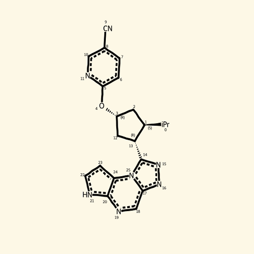 CC(C)[C@@H]1C[C@@H](Oc2ccc(C#N)cn2)C[C@H]1c1nnc2cnc3[nH]ccc3n12